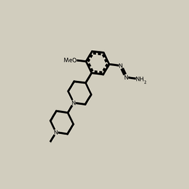 COc1ccc(N=NN)cc1C1CCN(C2CCN(C)CC2)CC1